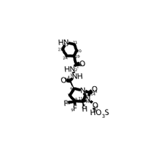 O=C(NNC(=O)[C@@H]1CC(F)(F)[C@@H]2CN1C(=O)N2OS(=O)(=O)O)C1CCNCC1